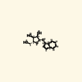 OC[C@H]1OC(On2ccc3ccccc32)[C@H](O)[C@@H]1O